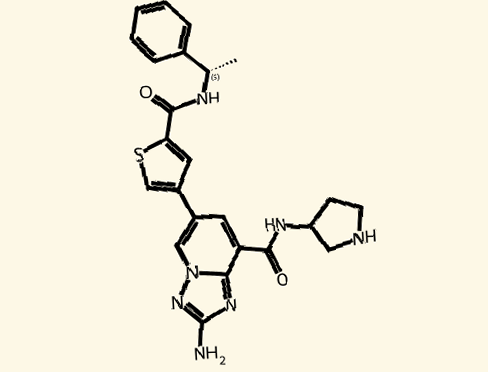 C[C@H](NC(=O)c1cc(-c2cc(C(=O)NC3CCNC3)c3nc(N)nn3c2)cs1)c1ccccc1